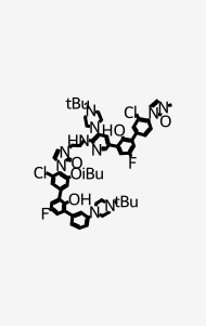 CC(C)COc1cc(-c2cc(F)cc(-c3cccc(N4CCN(C(C)(C)C)CC4)c3)c2O)cc(Cl)c1-n1ccn(CCNc2ncc(-c3cc(F)cc(-c4ccc(-n5ccn(C)c5=O)c(Cl)c4)c3O)cc2N2CCN(C(C)(C)C)CC2)c1=O